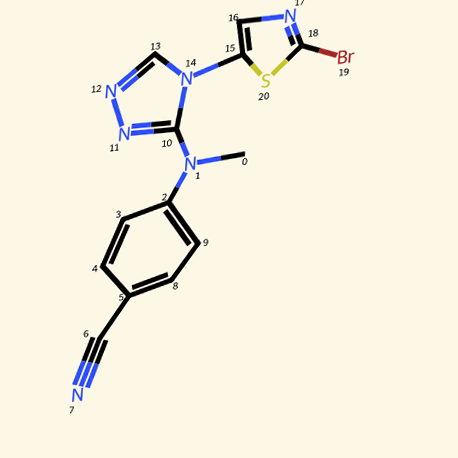 CN(c1ccc(C#N)cc1)c1nncn1-c1cnc(Br)s1